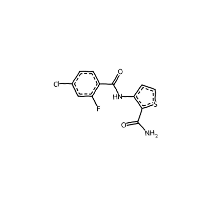 NC(=O)c1sccc1NC(=O)c1ccc(Cl)cc1F